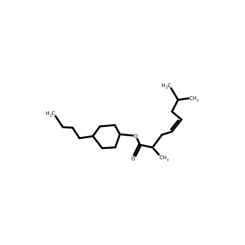 CCCCC1CCC(OC(=O)C(C)C/C=C\CC(C)C)CC1